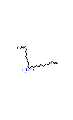 CCCCCCCCCCCCCCCCCCC(N)(CC)CCCCCCCCCCCCCCCCCC